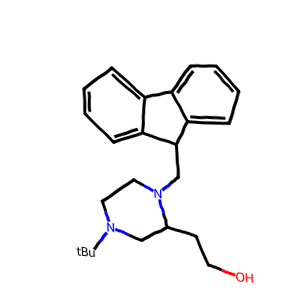 CC(C)(C)N1CCN(CC2c3ccccc3-c3ccccc32)C(CCO)C1